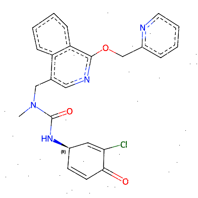 CN(Cc1cnc(OCc2ccccn2)c2ccccc12)C(=O)N[C@@H]1C=CC(=O)C(Cl)=C1